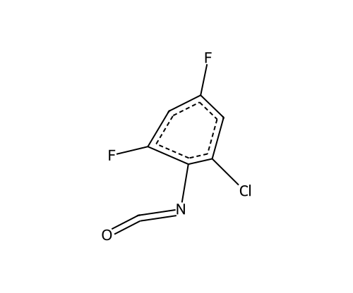 O=C=Nc1c(F)cc(F)cc1Cl